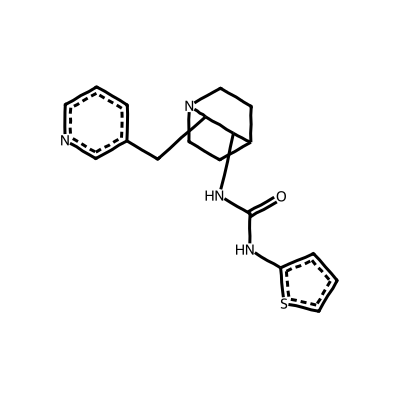 O=C(Nc1cccs1)NC1C2CCN(CC2)C1Cc1cccnc1